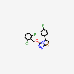 Fc1ccc(-c2csc3nnc(OCc4c(F)cccc4Cl)n23)cc1